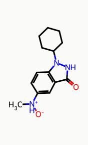 C[NH+]([O-])c1ccc2c(c1)c(=O)[nH]n2C1CCCCC1